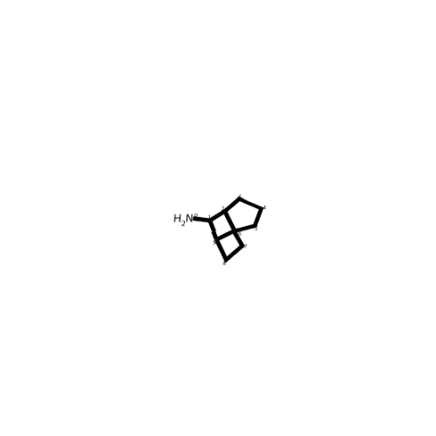 NC1C2CCCC23CCC13